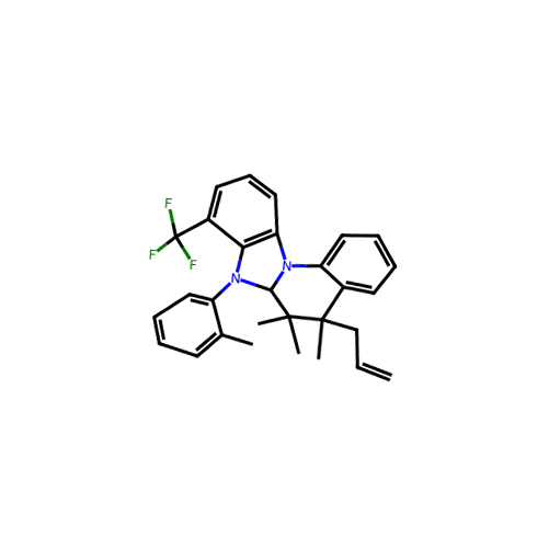 C=CCC1(C)c2ccccc2N2c3cccc(C(F)(F)F)c3N(c3ccccc3C)C2C1(C)C